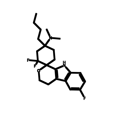 CCCCC1(N(C)C)CCC2(OCCc3c2[nH]c2ccc(F)cc32)C(F)(F)C1